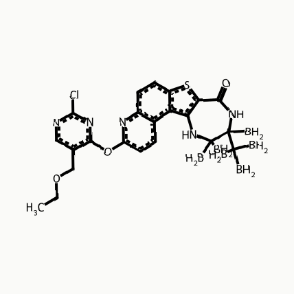 BC(B)(B)C1(B)NC(=O)c2sc3ccc4nc(Oc5nc(Cl)ncc5COCC)ccc4c3c2NC1(B)B